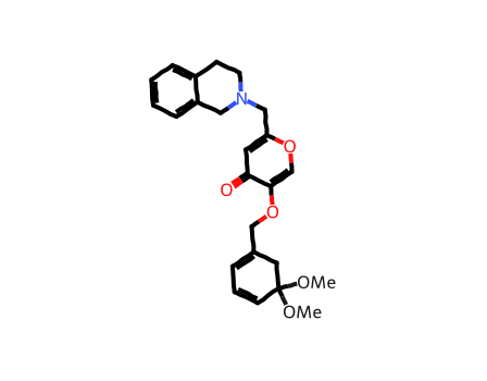 COC1(OC)C=CC=C(COc2coc(CN3CCc4ccccc4C3)cc2=O)C1